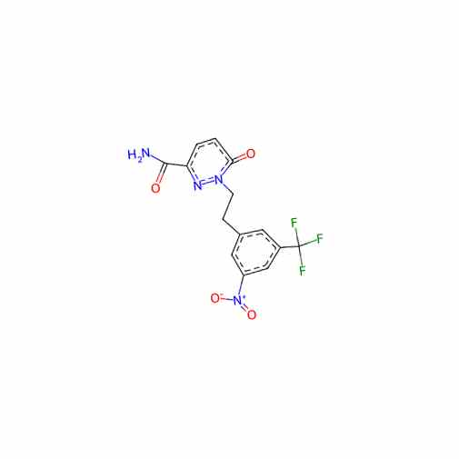 NC(=O)c1ccc(=O)n(CCc2cc([N+](=O)[O-])cc(C(F)(F)F)c2)n1